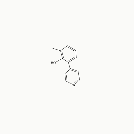 Cc1cccc(-c2ccncc2)c1O